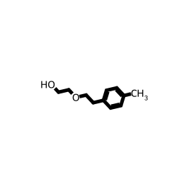 Cc1ccc(CCOCCO)cc1